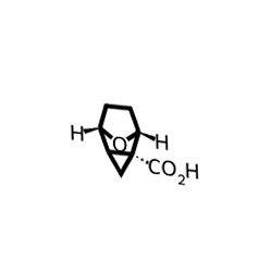 O=C(O)[C@]12CC1[C@@H]1CC[C@H]2O1